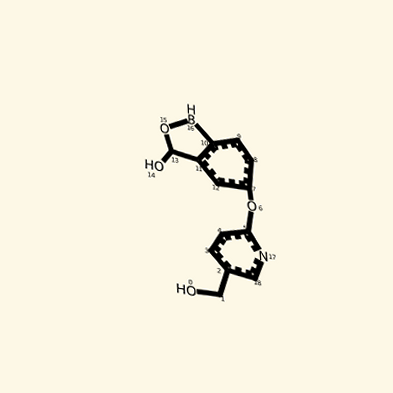 OCc1ccc(Oc2ccc3c(c2)C(O)OB3)nc1